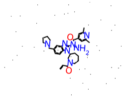 C=CC(=O)N1CCCC[C@@H](n2c(N(N)C(=O)c3cc(C)nc(C)c3)nc3cc(CN4CCCC4)ccc32)C1